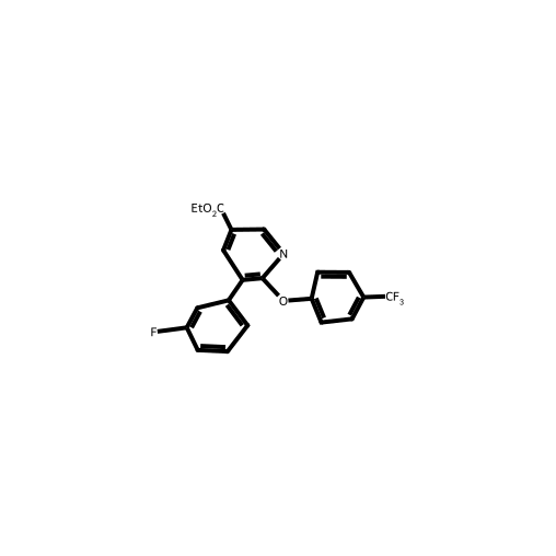 CCOC(=O)c1cnc(Oc2ccc(C(F)(F)F)cc2)c(-c2cccc(F)c2)c1